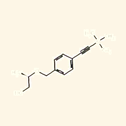 C[C@H](CO)OCc1ccc(C#C[Si](C)(C)C)cc1